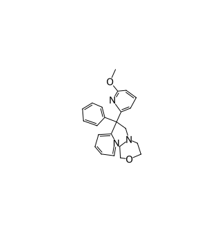 COc1cccc(C(CN2CCOCC2)(c2ccccc2)c2ccccn2)n1